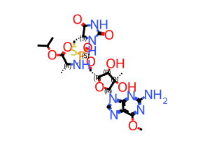 COc1nc(N)nc2c1ncn2[C@@H]1O[C@H](CO[P@@](=O)(N[C@H](C)C(=O)OC(C)C)SC[C@H]2NC(=O)NC2=O)[C@@H](O)[C@@]1(C)O